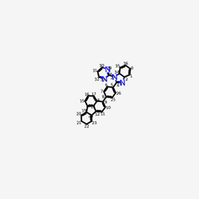 C1=CC2N=C(c3ccc(-c4ccc5c6c(cccc46)C4=CCCC=C45)cc3)N(c3ncccn3)C2C=C1